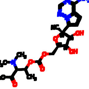 COC(=O)C(C(C)OC(=O)OC[C@H]1O[C@@](C#N)(c2ccc3c(N)ncnn23)[C@H](O)[C@@H]1O)N(C)C